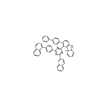 CC12C=CC=CC1Oc1ccc(-c3ccc(-c4ccccc4)cc3)c(-c3nc(-c4ccc(-c5cccc6ccccc56)cc4)nc(-c4ccc5ccccc5c4)n3)c12